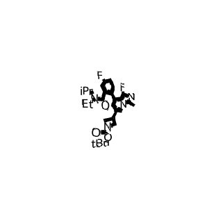 CCN(C(=O)c1cc(F)ccc1-c1cc(C2CN(C(=O)OC(C)(C)C)C2)cn2c(C)nc(F)c12)C(C)C